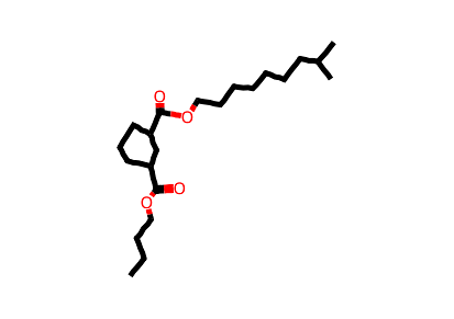 CCCCOC(=O)C1CCCC(C(=O)OCCCCCCCC(C)C)C1